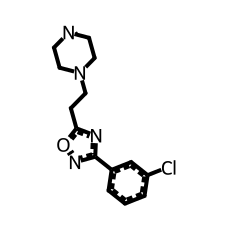 Clc1cccc(-c2noc(CCN3CC[N]CC3)n2)c1